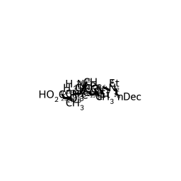 CCCCCCCCCCCCN(CC)CC[N+](CC)(CCC)C(C)(C)CC(C)OC(C)(N)C(C)(C)CCOC(C)(C)CC(=O)O